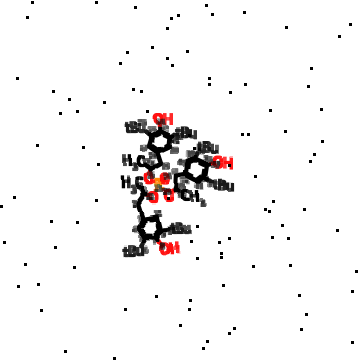 CC(Cc1cc(C(C)(C)C)c(O)c(C(C)(C)C)c1)OP(=O)(OC(C)Cc1cc(C(C)(C)C)c(O)c(C(C)(C)C)c1)OC(C)Cc1cc(C(C)(C)C)c(O)c(C(C)(C)C)c1